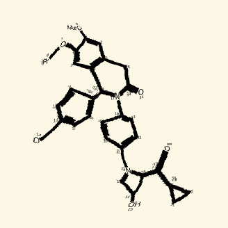 COc1cc2c(cc1OC(C)C)[C@H](c1ccc(Cl)cc1)N(c1ccc(N3CC(O)C3C(=O)C3CC3)cc1)C(=O)C2